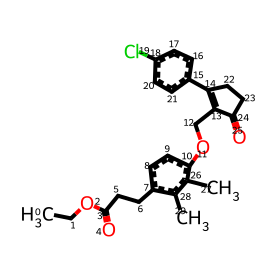 CCOC(=O)CCc1ccc(OCC2=C(c3ccc(Cl)cc3)CCC2=O)c(C)c1C